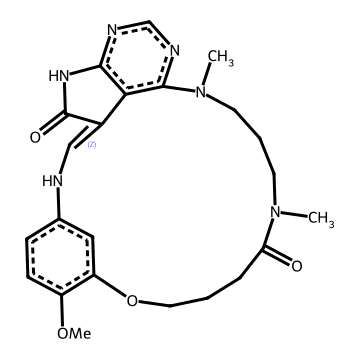 COc1ccc2cc1OCCCC(=O)N(C)CCCN(C)c1ncnc3c1/C(=C/N2)C(=O)N3